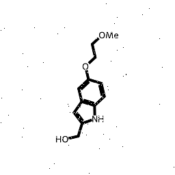 COCCOc1ccc2[nH]c(CO)cc2c1